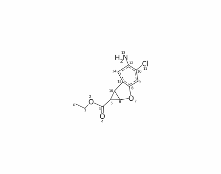 CCOC(=O)C1C2Oc3cc(Cl)c(N)cc3C21